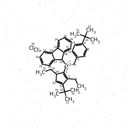 CCC1=[C](/[Zr+2](=[CH]/c2ccc(C(C)(C)C)cc2)[CH]2c3ccccc3-c3ccccc32)C(CC)C=C1C(C)(C)C.[Cl-].[Cl-]